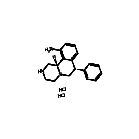 Cl.Cl.Nc1cccc2c1[C@H]1CNCCN1C[C@H]2c1ccccc1